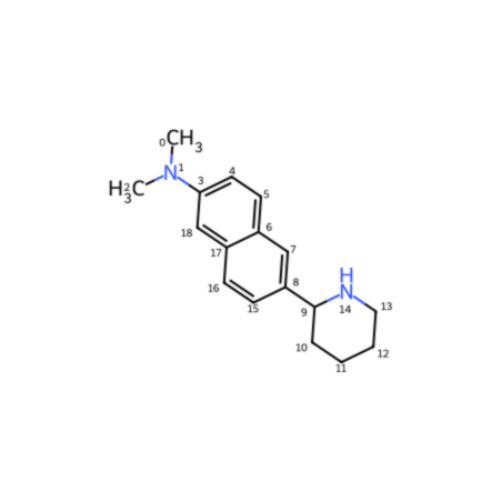 CN(C)c1ccc2cc(C3CCCCN3)ccc2c1